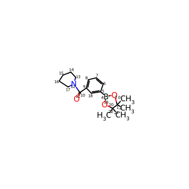 CC1(C)OB(c2cccc(C(=O)N3CCCCC3)c2)OC1(C)C